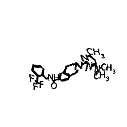 Cc1cc(N(C)C)nc(N2CCc3cc(C(=O)NCc4ccccc4C(F)(F)F)ccc3C2)n1